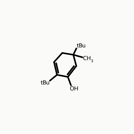 CC(C)(C)C1=CCC(C)(C(C)(C)C)C=C1O